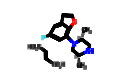 C[C@@H]1CN(c2cc(F)cc3ccoc23)[C@H](C)CN1.O=C(O)C=CC(=O)O